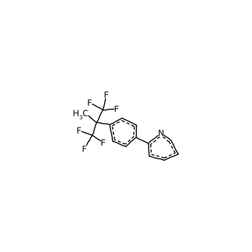 CC(c1ccc(-c2ccccn2)cc1)(C(F)(F)F)C(F)(F)F